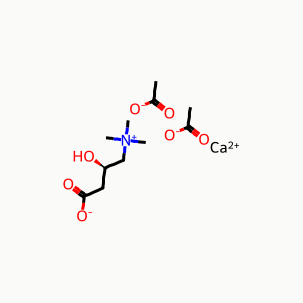 CC(=O)[O-].CC(=O)[O-].C[N+](C)(C)C[C@H](O)CC(=O)[O-].[Ca+2]